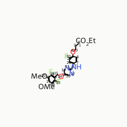 CCOC(=O)CCCOc1ccc(Nc2ncc(OCc3c(F)c(OC)cc(OC)c3F)cn2)cc1F